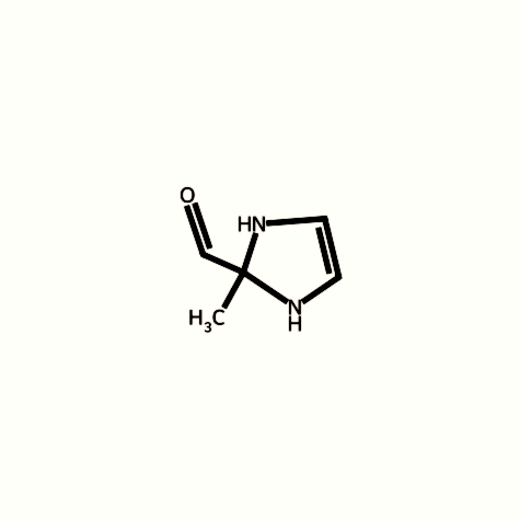 CC1(C=O)NC=CN1